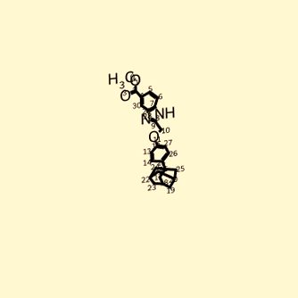 COC(=O)c1ccc2[nH]c(COc3ccc(C45CC6CC(CC(C6)C4)C5)cc3)nc2c1